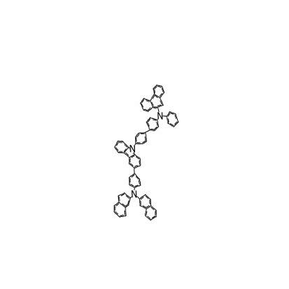 c1ccc(N(c2ccc(-c3ccc(-n4c5ccccc5c5cc(-c6ccc(N(c7ccc8ccccc8c7)c7ccc8ccccc8c7)cc6)ccc54)cc3)cc2)c2cc3ccccc3c3ccccc23)cc1